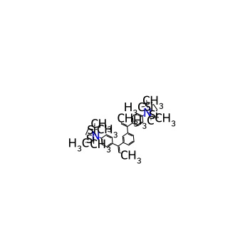 C/C=C(/c1ccc(N2[Si](C)(C)CC[Si]2(C)C)cc1)c1cccc(/C(=C/C)c2ccc(N3[Si](C)(C)CC[Si]3(C)C)cc2)c1